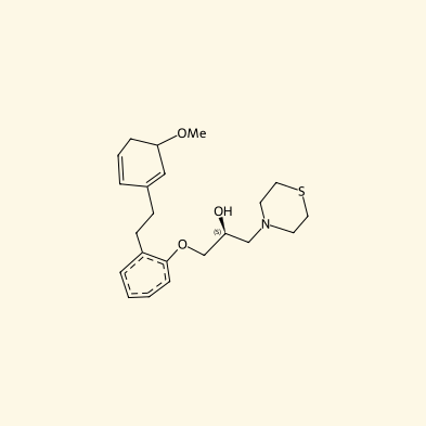 COC1C=C(CCc2ccccc2OC[C@@H](O)CN2CCSCC2)C=CC1